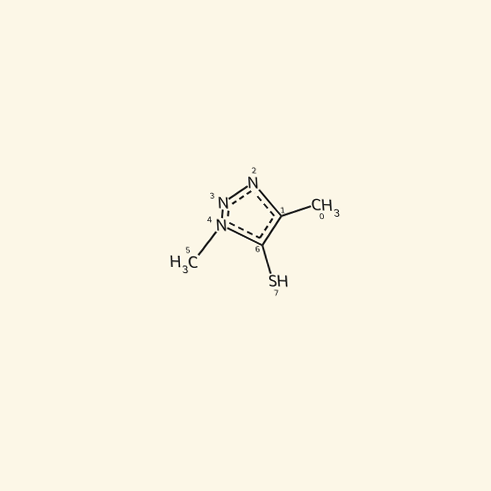 Cc1nnn(C)c1S